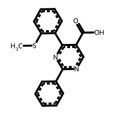 CSc1ccccc1-c1nc(-c2ccccc2)ncc1C(=O)O